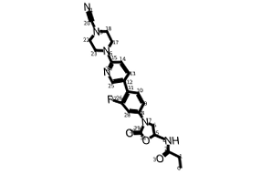 CCC(=O)NC1CN(c2ccc(-c3ccc(N4CCN(C#N)CC4)nc3)c(F)c2)C(=O)O1